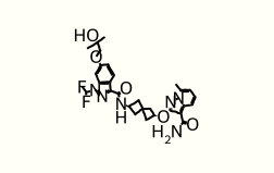 Cc1cccc2c(C(N)=O)c(O[C@H]3CC4(C[C@H](NC(=O)c5nn(C(F)F)c6cc(OCC(C)(C)O)ccc56)C4)C3)nn12